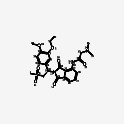 CCOc1cc([C@H](CS(C)(=O)=O)N2C(=O)c3cccc(NC(=O)CN(C)C)c3C2=O)ccc1OC